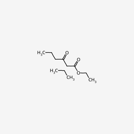 CCC.CCCC(=O)CC(=O)OCC